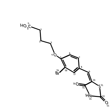 O=C(O)CCCOc1ccc(/C=C2/SC(=O)NC2=O)cc1Br